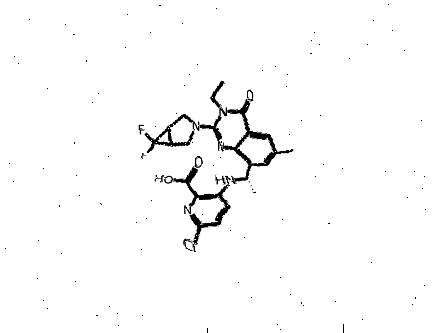 CCn1c(N2CC3C(C2)C3(F)F)nc2c([C@H](C)Nc3ccc(Cl)nc3C(=O)O)cc(C)cc2c1=O